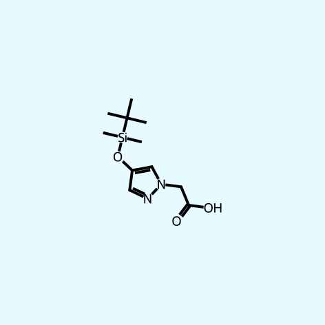 CC(C)(C)[Si](C)(C)Oc1cnn(CC(=O)O)c1